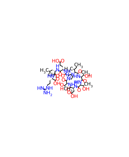 CC[C@H](C)[C@H](N)C(=O)N[C@H](C(=O)N[C@H](C(=O)N[C@@H](CC(=O)O)C(=O)N[C@H](C(=O)N1CCC[C@H]1C(=O)N[C@@H](CCC(=O)O)C(=O)N[C@@H](CC(C)C)C(=O)N[C@@H](CCCNC(=N)N)C(=O)O)[C@@H](C)O)[C@@H](C)O)[C@@H](C)O